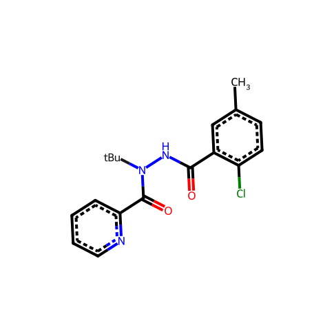 Cc1ccc(Cl)c(C(=O)NN(C(=O)c2ccccn2)C(C)(C)C)c1